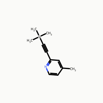 Cc1c[c]nc(C#C[Si](C)(C)C)c1